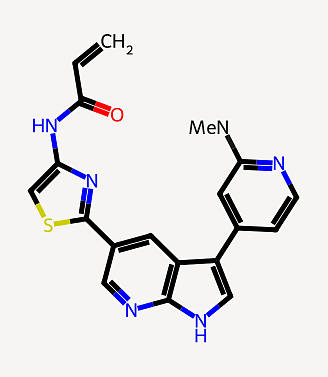 C=CC(=O)Nc1csc(-c2cnc3[nH]cc(-c4ccnc(NC)c4)c3c2)n1